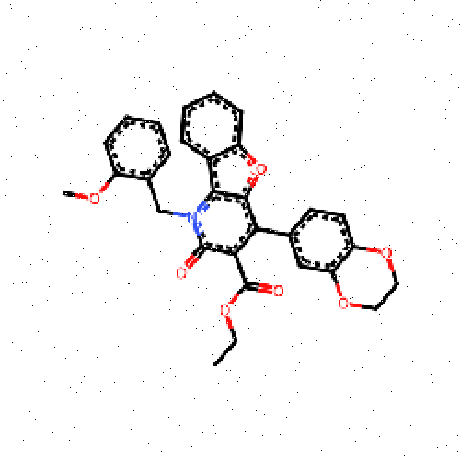 CCOC(=O)c1c(-c2ccc3c(c2)OCCO3)c2oc3ccccc3c2n(Cc2ccccc2OC)c1=O